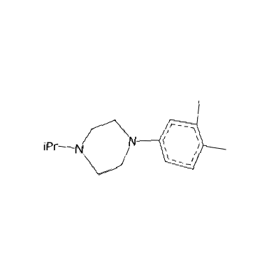 Cc1ccc(N2CCN(C(C)C)CC2)cc1C